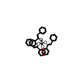 O=P(O/C(=C\c1ccccc1)c1ccccc1)(O/C(=C\c1ccccc1)c1ccccc1)O/C(=C\c1ccccc1)c1ccccc1